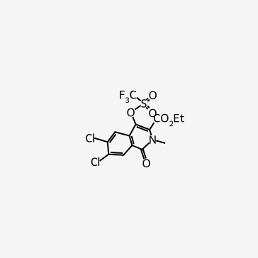 CCOC(=O)c1c(OS(=O)(=O)C(F)(F)F)c2cc(Cl)c(Cl)cc2c(=O)n1C